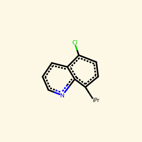 CC(C)c1ccc(Cl)c2cccnc12